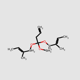 C=CCC(O[SiH3])(O[SiH2]C(C)=CC)O[SiH2]C(C)=CC